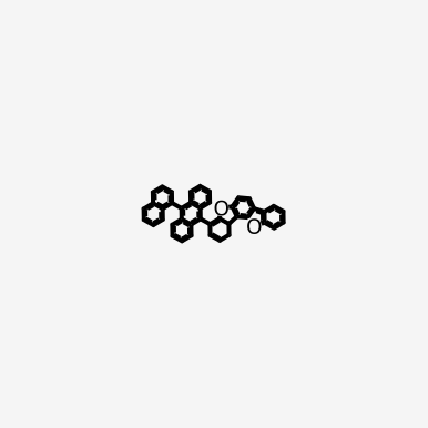 C1=CC(c2c3ccccc3c(-c3cccc4ccccc34)c3ccccc23)=C2Oc3ccc4c(oc5ccccc54)c3C2C1